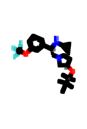 CC(C)(C)[Si](C)(C)O[C@@H]1CCN(C[C@@H](NC2CC2)c2cccc(OC(F)(F)F)c2)C1